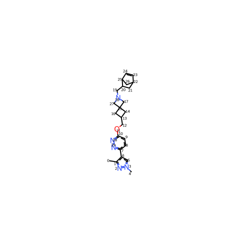 Cc1nn(C)cc1-c1ccc(OCC2CC3(C2)CN(CC2CC4C=CC2C4)C3)nn1